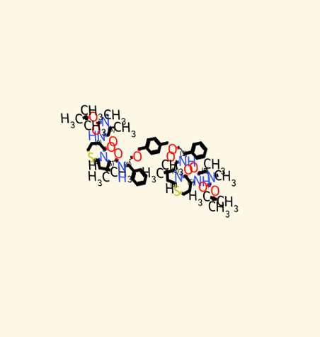 C[C@@H](C(=O)N[C@H]1CCS[C@H]2CC(C)(C)[C@@H](C(=O)N[C@H](COCc3ccc(COC[C@@H](NC(=O)[C@H]4N5C(=O)[C@@H](NC(=O)[C@H](C)N(C)C(=O)OC(C)(C)C)CCS[C@H]5CC4(C)C)c4ccccc4)cc3)c3ccccc3)N2C1=O)N(C)C(=O)OC(C)(C)C